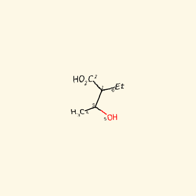 CC[C](C(=O)O)C(C)O